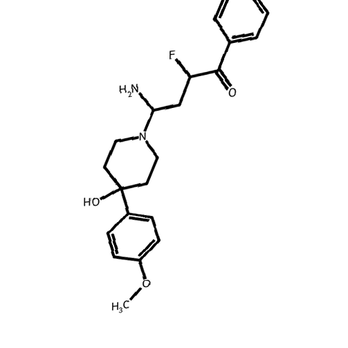 COc1ccc(C2(O)CCN(C(N)CC(F)C(=O)c3ccccc3)CC2)cc1